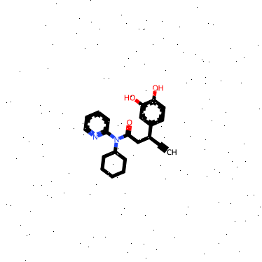 C#CC(CC(=O)N(c1ccccn1)C1CCCCC1)c1ccc(O)c(O)c1